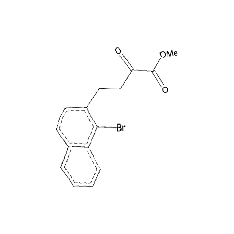 COC(=O)C(=O)CCc1ccc2ccccc2c1Br